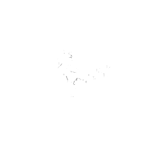 C=C1CCSCC1c1ccc(CC)c(CCCCCC)c1